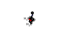 COc1ccc2c3c1O[C@H]1C(=O)C=C[C@@]4(OC/C=C/c5ccccc5)[C@@H](C2)N(C)CC[C@]314